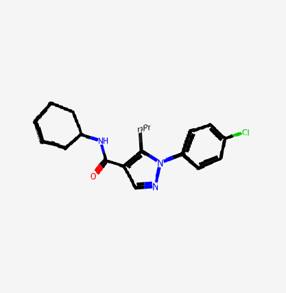 CCCc1c(C(=O)NC2CCCCC2)cnn1-c1ccc(Cl)cc1